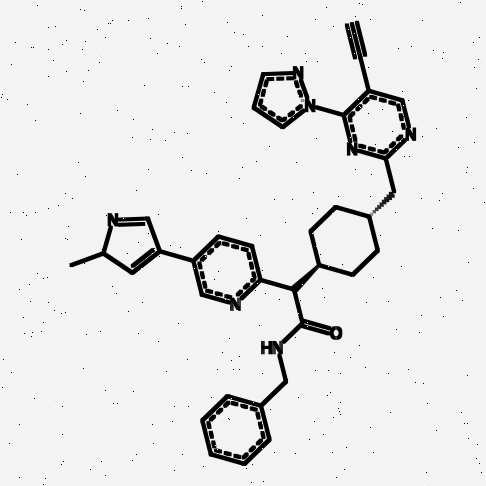 C#Cc1cnc(C[C@H]2CC[C@H](C(C(=O)NCc3ccccc3)c3ccc(C4=CC(C)N=C4)cn3)CC2)nc1-n1cccn1